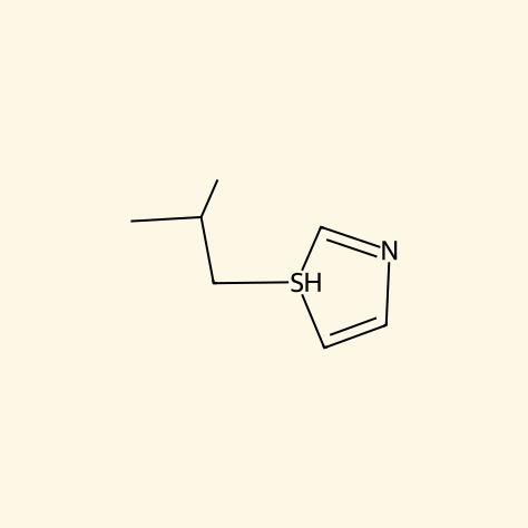 CC(C)C[SH]1C=CN=C1